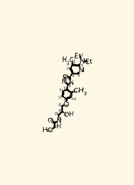 CCN(CC)c1ncc(-c2nc(-c3ccc(OC[C@@H](O)CNC(=O)CO)cc3C)no2)cc1C